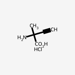 C#CC(C)(N)C(=O)O.Cl